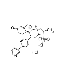 CC1C[C@H]2[C@@H]3CCC4=CC(=O)CCC4=C3C(c3ccc(-c4cccnc4)cc3)C[C@]2(C)C1C(=O)C1CC1.Cl